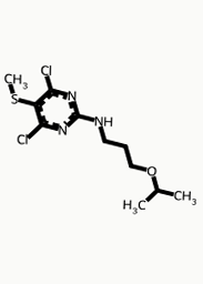 CSc1c(Cl)nc(NCCCOC(C)C)nc1Cl